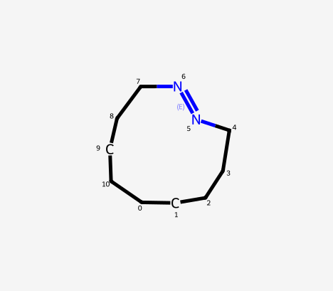 C1CCCC/N=N/CCCC1